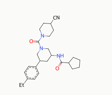 CCc1ccc(C2CC(NC(=O)C3CCCC3)CN(C(=O)N3CCC(C#N)CC3)C2)cc1